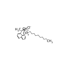 CCCCCCCCCCCC[N+](C)(C)C(C)c1cccc2ccccc12.[Cl-]